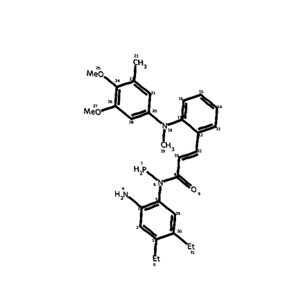 CCc1cc(N)c(N(P)C(=O)/C=C/c2ccccc2N(C)c2cc(C)c(OC)c(OC)c2)cc1CC